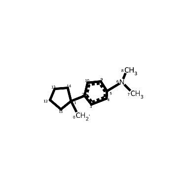 [CH2]C1(c2ccc(N(C)C)cc2)CCCC1